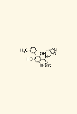 CCCCCc1cc(O)c(-c2cccc(C)c2)c(O)c1C(=O)N1CCn2cnnc2C1